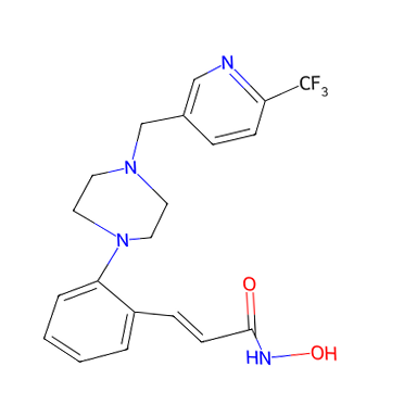 O=C(C=Cc1ccccc1N1CCN(Cc2ccc(C(F)(F)F)nc2)CC1)NO